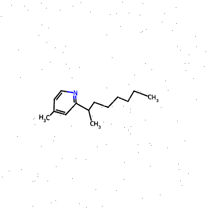 CCCCCCC(C)c1cc(C)ccn1